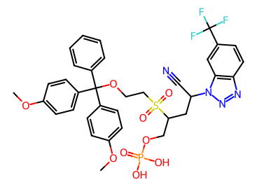 COc1ccc(C(OCCS(=O)(=O)C(COP(=O)(O)O)CC(C#N)n2nnc3ccc(C(F)(F)F)cc32)(c2ccccc2)c2ccc(OC)cc2)cc1